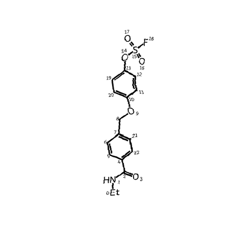 CCNC(=O)c1ccc(COc2ccc(OS(=O)(=O)F)cc2)cc1